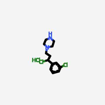 Cl.Clc1cccc(C(Cl)CCN2CCNCC2)c1